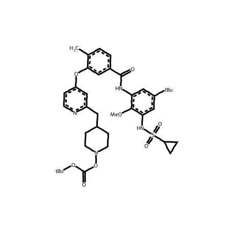 COc1c(NC(=O)c2ccc(C)c(Oc3ccnc(CC4CCN(OC(=O)OC(C)(C)C)CC4)c3)c2)cc(C(C)(C)C)cc1NS(=O)(=O)C1CC1